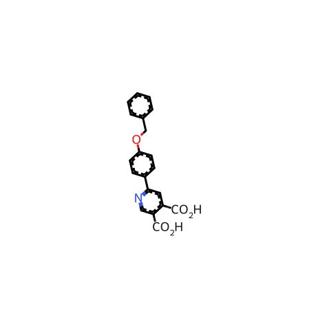 O=C(O)c1cnc(-c2ccc(OCc3ccccc3)cc2)cc1C(=O)O